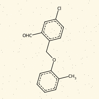 Cc1ccccc1OCc1ccc(Cl)cc1C=O